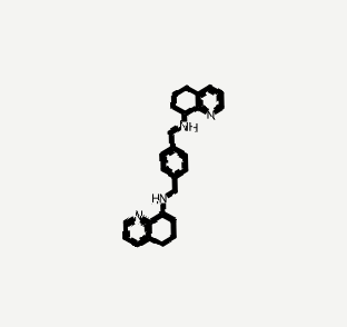 c1cnc2c(c1)CCCC2NCc1ccc(CNC2CCCc3cccnc32)cc1